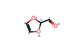 O=CC1OC=CO1